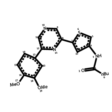 CCCCC(=O)Nc1csc(-c2cncc(-c3ccc(OC)c(OC)c3)n2)c1